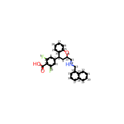 O=C(O)c1c(F)cc(C2CC(CNCc3cccc4ccccc34)Oc3ccccc32)cc1F